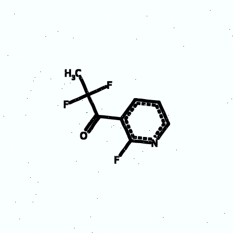 CC(F)(F)C(=O)c1cccnc1F